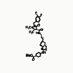 COC(=O)c1ccc(Nc2ncc3cc(/C=C/CNC(=O)c4c(C)n(C)n(Cc5ccc(F)c(F)c5)c4=O)ccc3n2)cc1